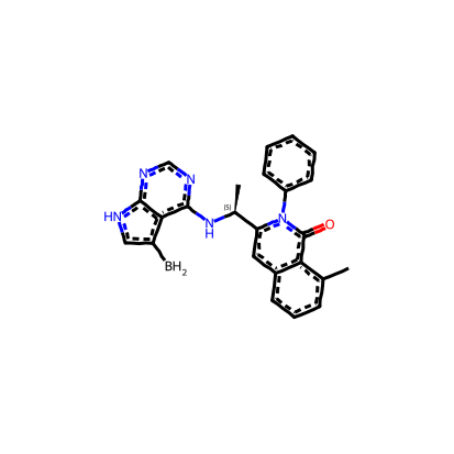 Bc1c[nH]c2ncnc(N[C@@H](C)c3cc4cccc(C)c4c(=O)n3-c3ccccc3)c12